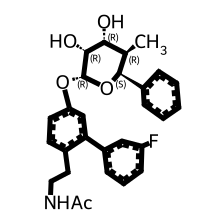 CC(=O)NCCc1ccc(O[C@H]2O[C@H](c3ccccc3)[C@H](C)[C@@H](O)[C@H]2O)cc1-c1cccc(F)c1